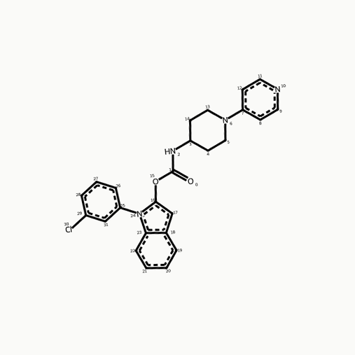 O=C(NC1CCN(c2ccncc2)CC1)Oc1cc2ccccc2n1-c1cccc(Cl)c1